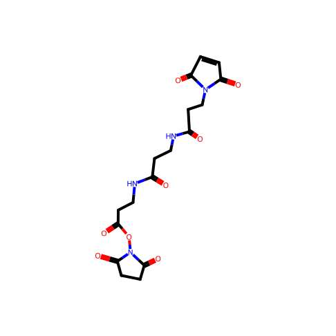 O=C(CCNC(=O)CCN1C(=O)C=CC1=O)NCCC(=O)ON1C(=O)CCC1=O